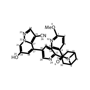 COc1ccc(C(=O)N2C3CC2CN(c2ccc(-c4cc(O)cn5ncc(C#N)c45)cn2)C3)cn1